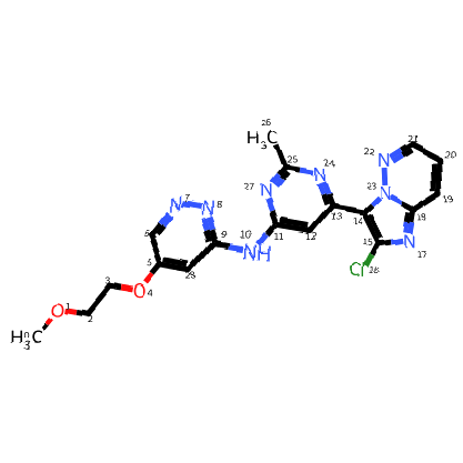 COCCOc1cnnc(Nc2cc(-c3c(Cl)nc4cccnn34)nc(C)n2)c1